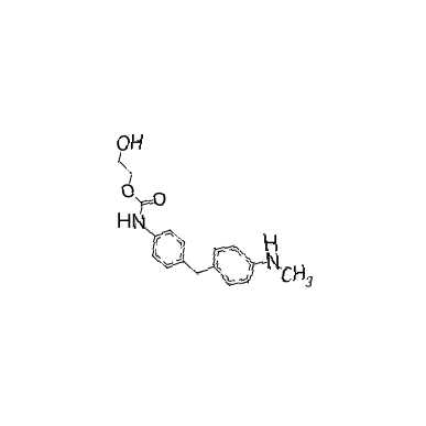 CNc1ccc(Cc2ccc(NC(=O)OCCO)cc2)cc1